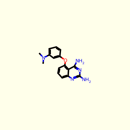 CN(C)c1cccc(Oc2cccc3nc(N)nc(N)c23)c1